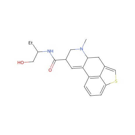 CCC(CO)NC(=O)C1C=C2c3cccc4scc(c34)CC2N(C)C1